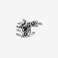 CC(=O)N[C@@H]1[C@@H](O)[C@H](O[C@@H]2O[C@H](C(=O)O)[C@@H](O[C@@H]3O[C@H](CO)[C@@H](O[C@H]4O[C@@H](C(=O)O)[C@H](O)[C@@H](O)[C@@H]4OS(=O)(=O)O)[C@H](OS(=O)(=O)O)[C@H]3NS(=O)(=O)O)[C@H](O)[C@H]2OS(=O)(=O)O)[C@H](COS(=O)(=O)O)O[C@H]1O.CCN=C=NCCCN(C)C.Cl